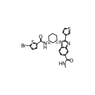 CNC(=O)c1ccc2c(c1)nc(-c1ccsc1)n2[C@H]1CCC[C@@H](NC(=O)c2ccc(Br)s2)C1